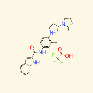 Cc1cc(NC(=O)c2cc3ccccc3[nH]2)ccc1N1CCC(N2CCCC2C)C1.O=C(O)C(F)(F)F